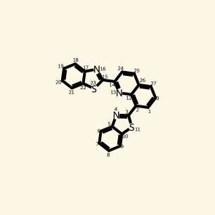 c1cc(-c2nc3ccccc3s2)c2nc(-c3nc4ccccc4s3)ccc2c1